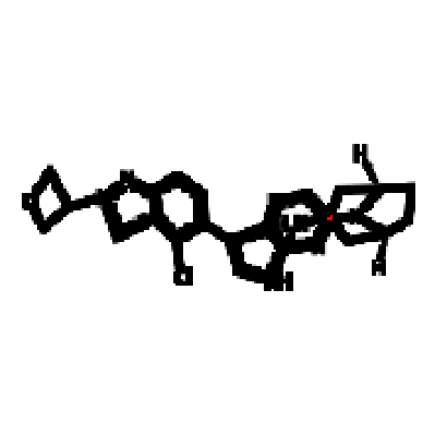 N[C@H]1C[C@H]2CC[C@@H](C1)N2c1cnc2c(-c3ccc4nn(C5COC5)cc4c3Cl)c[nH]c2n1